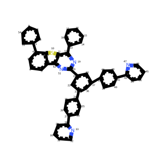 c1ccc(-c2cccc3c2sc2c(-c4ccccc4)nc(-c4cc(-c5ccc(-c6ccccn6)cc5)cc(-c5ccc(-c6ccccn6)cc5)c4)nc23)cc1